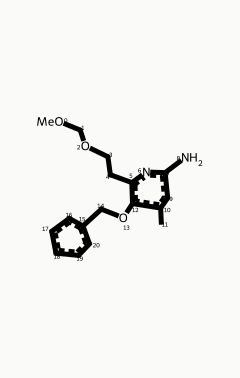 COCOCCc1nc(N)cc(C)c1OCc1ccccc1